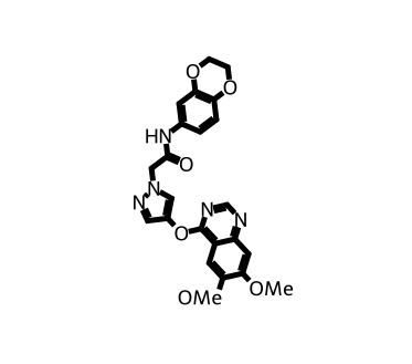 COc1cc2ncnc(Oc3cnn(CC(=O)Nc4ccc5c(c4)OCCO5)c3)c2cc1OC